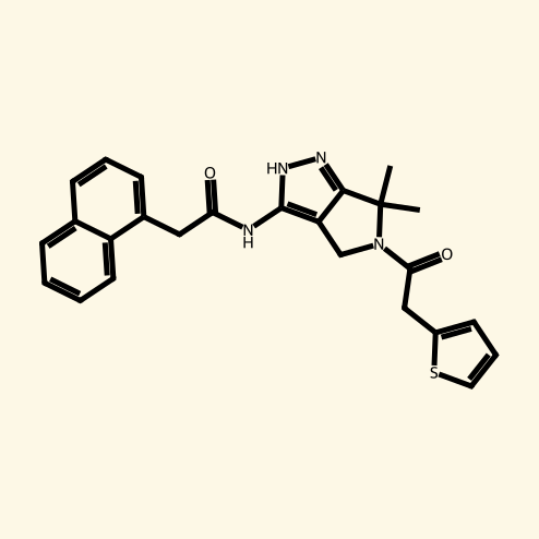 CC1(C)c2n[nH]c(NC(=O)Cc3cccc4ccccc34)c2CN1C(=O)Cc1cccs1